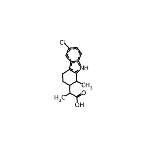 CC(C(=O)O)C1CCc2c([nH]c3ccc(Cl)cc23)C1C